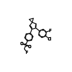 O=S(=O)(CF)c1ccc(C2=CC3(C=C2c2ccc(Cl)c(F)c2)CC3)cc1